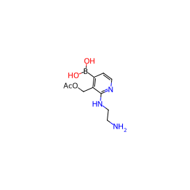 CC(=O)OCc1c(B(O)O)ccnc1NCCN